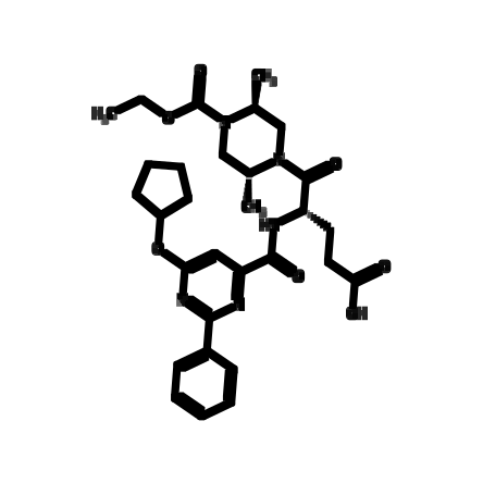 CCOC(=O)N1C[C@@H](C)N(C(=O)[C@H](CCC(=O)O)NC(=O)c2cc(OC3CCCC3)nc(-c3ccccc3)n2)C[C@@H]1C